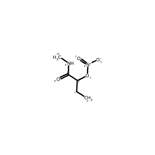 CCC(O[N+](=O)[O-])C(=O)NC